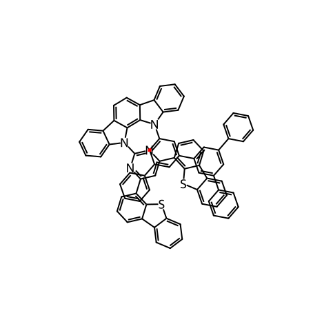 c1ccc(-c2cc(-c3ccccc3)cc(-c3cc(-c4ccccc4)cc(-n4c5ccccc5c5ccc6c7ccccc7n(-c7nc(-c8cccc9c8sc8ccccc89)cc(-c8cccc9c8sc8ccccc89)n7)c6c54)c3)c2)cc1